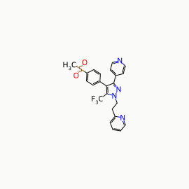 CS(=O)(=O)c1ccc(-c2c(-c3ccncc3)nn(CCc3ccccn3)c2C(F)(F)F)cc1